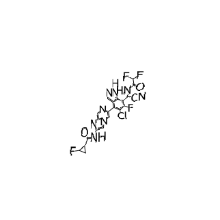 N#CC(NC(=O)C(F)F)c1c(F)c(Cl)c(-c2cn3cc(NC(=O)C4CC4F)nc3cn2)c2cn[nH]c12